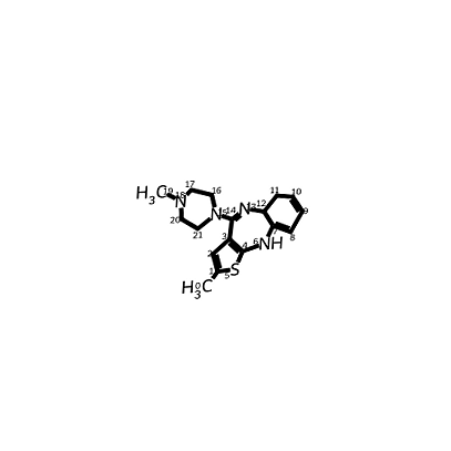 Cc1cc2c(s1)NC1=CC=CCC1N=C2N1CCN(C)CC1